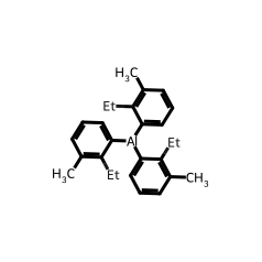 CCc1c(C)ccc[c]1[Al]([c]1cccc(C)c1CC)[c]1cccc(C)c1CC